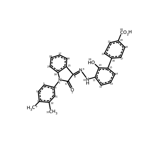 Cc1ccc(N2C(=O)C(=NNc3cccc(-c4ccc(C(=O)O)cc4)c3O)c3ccccc32)cc1C